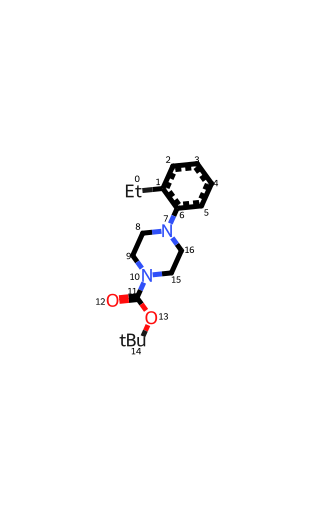 CCc1ccccc1N1CCN(C(=O)OC(C)(C)C)CC1